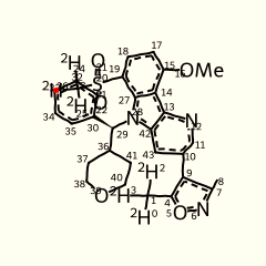 [2H]C([2H])([2H])c1onc(C)c1-c1cnc2c3c(OC)ccc(S(=O)(=O)C([2H])([2H])[2H])c3n([C@H](c3ccccc3)C3CCOCC3)c2c1